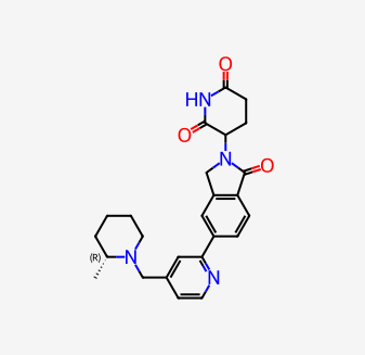 C[C@@H]1CCCCN1Cc1ccnc(-c2ccc3c(c2)CN(C2CCC(=O)NC2=O)C3=O)c1